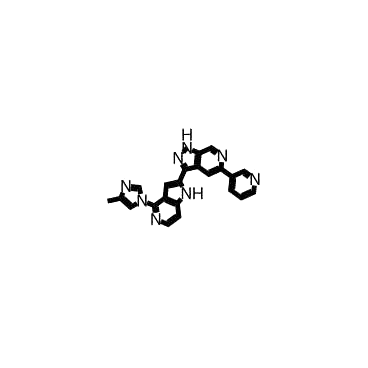 Cc1cn(-c2nccc3[nH]c(-c4n[nH]c5cnc(-c6cccnc6)cc45)cc23)cn1